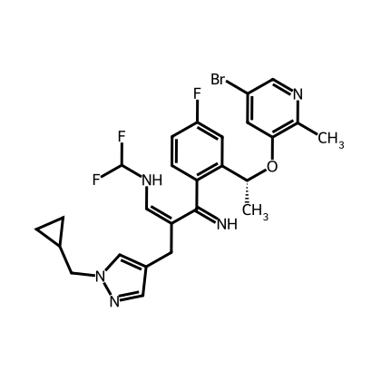 Cc1ncc(Br)cc1O[C@H](C)c1cc(F)ccc1C(=N)/C(=C\NC(F)F)Cc1cnn(CC2CC2)c1